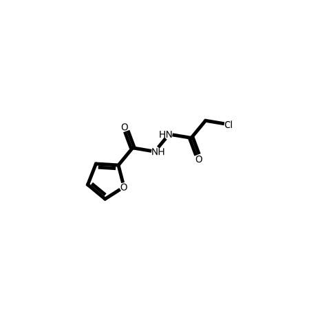 O=C(CCl)NNC(=O)c1ccco1